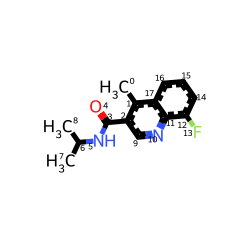 Cc1c(C(=O)NC(C)C)cnc2c(F)cccc12